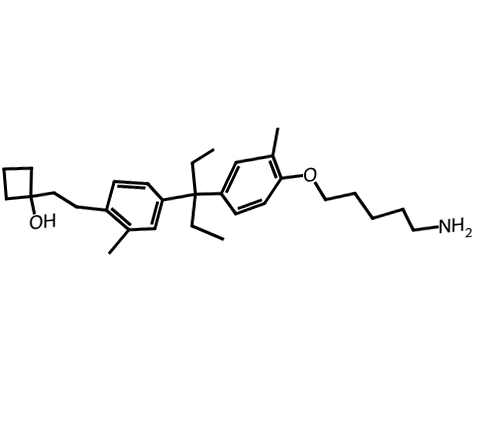 CCC(CC)(c1ccc(CCC2(O)CCC2)c(C)c1)c1ccc(OCCCCCN)c(C)c1